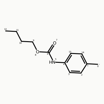 [CH2]c1ccc(NC(=O)OCCCC)cc1